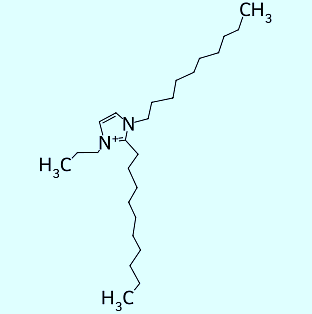 CCCCCCCCCCc1n(CCCCCCCCCC)cc[n+]1CCC